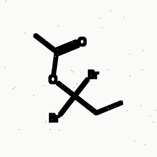 CCC(Br)(Br)OC(C)=O